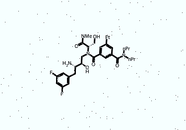 CCCN(CCC)C(=O)c1cc(CC)cc(C(=O)N(C[C@@H](O)[C@@H](N)Cc2cc(F)cc(F)c2)[C@@H](CO)C(=O)NC)c1